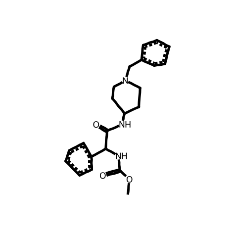 COC(=O)NC(C(=O)NC1CCN(Cc2ccccc2)CC1)c1ccccc1